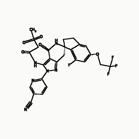 CS(=O)(=O)CC(=O)Nc1c2c(nn1-c1ccc(C#N)cn1)C[C@@]1(CCc3cc(OCC(F)(F)F)cc(F)c31)NC2=O